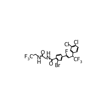 O=C(CNC(=O)c1ccc(C(F)=CC(c2ccc(Cl)c(Cl)c2)C(F)(F)F)cc1Br)NCC(F)(F)F